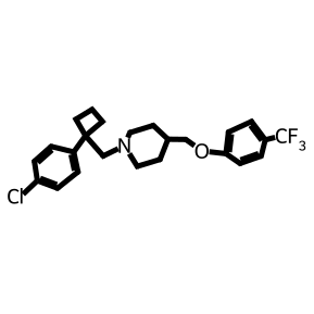 FC(F)(F)c1ccc(OCC2CCN(CC3(c4ccc(Cl)cc4)CCC3)CC2)cc1